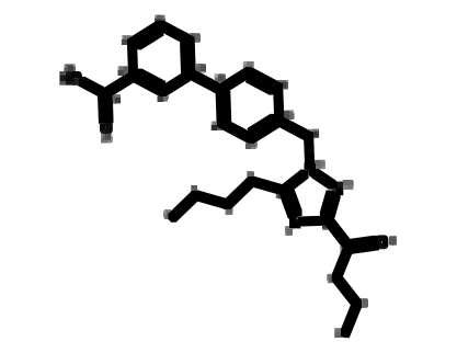 CCCCc1nc(C(=O)CCC)nn1Cc1ccc(-c2cccc(C(=O)O)c2)cc1